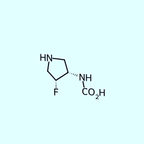 O=C(O)N[C@H]1CNC[C@H]1F